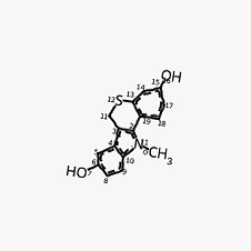 Cn1c2c(c3cc(O)ccc31)CSc1cc(O)ccc1-2